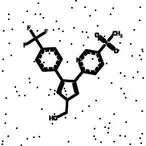 CS(=O)(=O)c1ccc(C2=CC(CO)C=C2c2ccc(C(F)(F)F)cc2)nc1